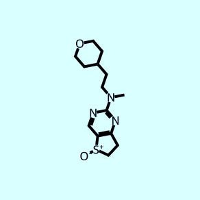 CN(CCC1CCOCC1)c1ncc2c(n1)CC[S+]2[O-]